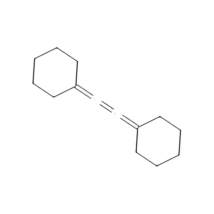 C(=C=C1CCCCC1)=C1CCCCC1